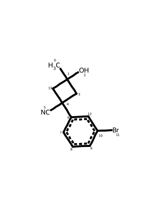 CC1(O)CC(C#N)(c2cccc(Br)c2)C1